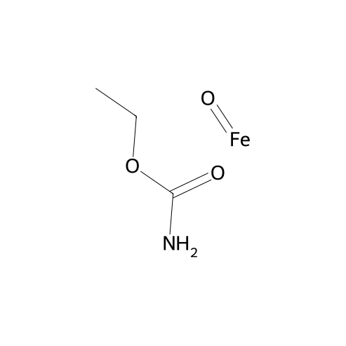 CCOC(N)=O.[O]=[Fe]